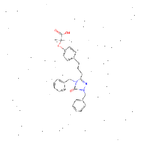 CC(C)(Oc1ccc(CCCc2nn(Cc3ccccc3)c(=O)n2Cc2ccccc2)cc1)C(=O)O